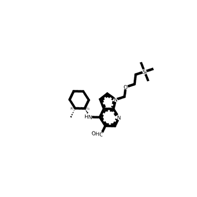 C[C@@H]1CCCC[C@@H]1Nc1c(C=O)cnc2c1ccn2COCC[Si](C)(C)C